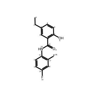 CCc1ccc(O)c(C(=O)Nc2ccc(F)cc2F)c1